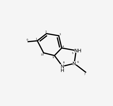 CC1=CC=C2NN(C)NC2C1